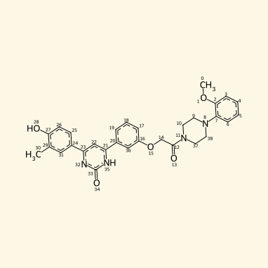 COc1ccccc1N1CCN(C(=O)COc2cccc(-c3cc(-c4ccc(O)c(C)c4)nc(=O)[nH]3)c2)CC1